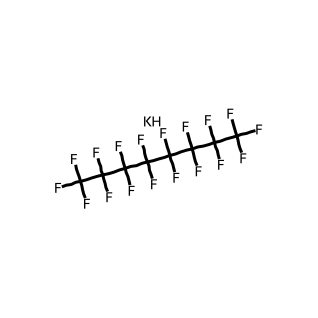 FC(F)(F)C(F)(F)C(F)(F)C(F)(F)C(F)(F)C(F)(F)C(F)(F)C(F)(F)F.[KH]